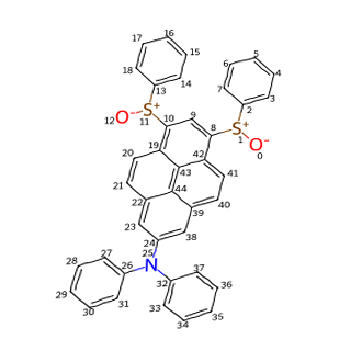 [O-][S+](c1ccccc1)c1cc([S+]([O-])c2ccccc2)c2ccc3cc(N(c4ccccc4)c4ccccc4)cc4ccc1c2c43